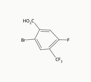 O=C(O)c1cc(F)c(C(F)(F)F)cc1Br